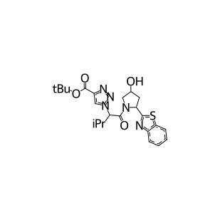 CC(C)C(C(=O)N1CC(O)CC1c1nc2ccccc2s1)n1cc(C(=O)OC(C)(C)C)nn1